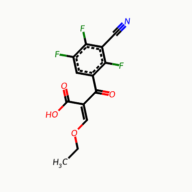 CCO/C=C(\C(=O)O)C(=O)c1cc(F)c(F)c(C#N)c1F